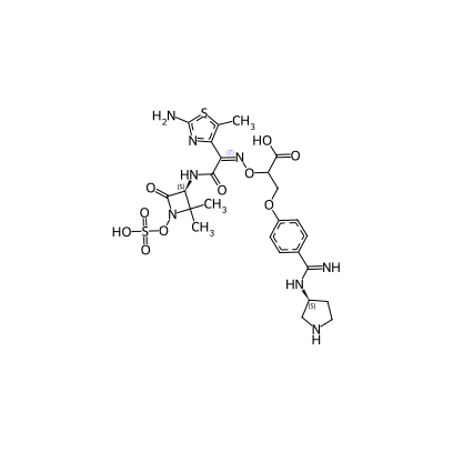 Cc1sc(N)nc1/C(=N/OC(COc1ccc(C(=N)N[C@H]2CCNC2)cc1)C(=O)O)C(=O)N[C@@H]1C(=O)N(OS(=O)(=O)O)C1(C)C